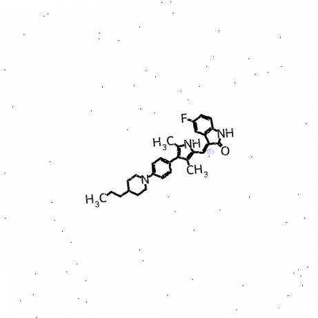 CCCC1CCN(c2ccc(-c3c(C)[nH]c(/C=C4/C(=O)Nc5ccc(F)cc54)c3C)cc2)CC1